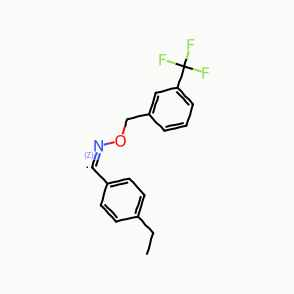 CCc1ccc(/[C]=N\OCc2cccc(C(F)(F)F)c2)cc1